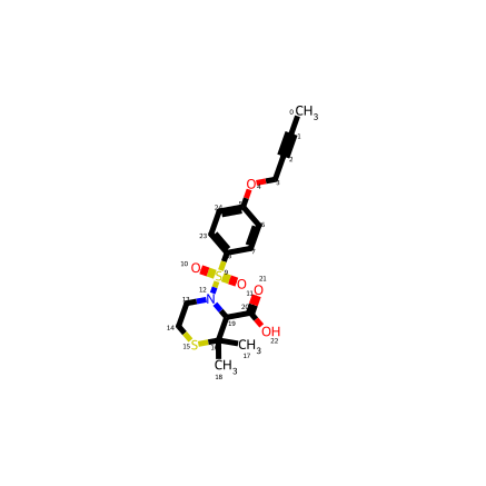 CC#CCOc1ccc(S(=O)(=O)N2CCSC(C)(C)C2C(=O)O)cc1